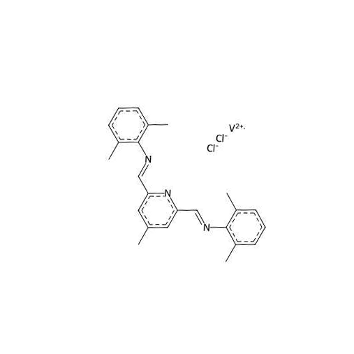 Cc1cc(C=Nc2c(C)cccc2C)nc(C=Nc2c(C)cccc2C)c1.[Cl-].[Cl-].[V+2]